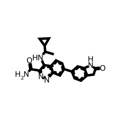 CC(Nc1c(C(N)=O)nnc2cc(-c3ccc4c(c3)NC(=O)C4)ccc12)C1CC1